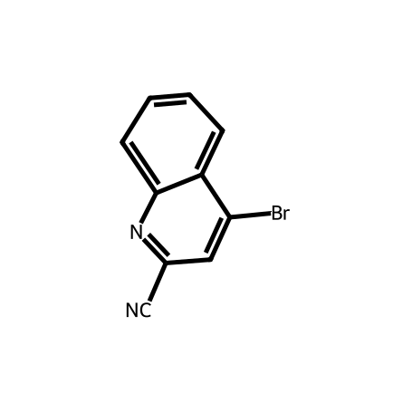 N#Cc1cc(Br)c2ccccc2n1